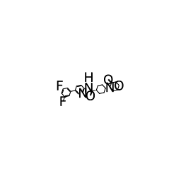 O=C1COCCN1[C@H]1CC[C@H](C(=O)Nc2ccc(-c3cc(F)cc(F)c3)cn2)CC1